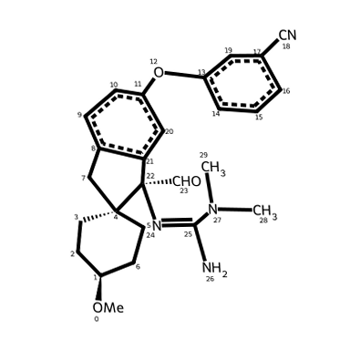 CO[C@H]1CC[C@]2(CC1)Cc1ccc(Oc3cccc(C#N)c3)cc1[C@@]2(C=O)/N=C(/N)N(C)C